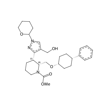 COC(=O)N1CCC[C@H](c2nn(C3CCCCO3)cc2CO)[C@@H]1CO[C@H]1CC[C@@H](c2ccccc2)CC1